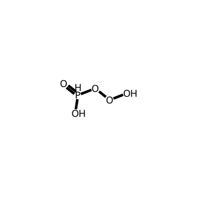 O=[PH](O)OOO